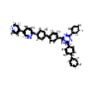 c1ccc(-c2ccc(-c3nc(-c4ccccc4)nc(-c4ccc(-c5ccc(-c6ccc(-c7ccncc7)cn6)cc5)cc4)n3)cc2)cc1